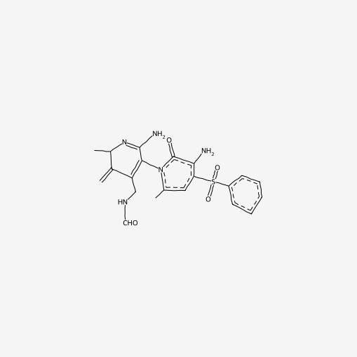 C=C1C(CNC=O)=C(n2c(C)cc(S(=O)(=O)c3ccccc3)c(N)c2=O)C(N)=NC1C